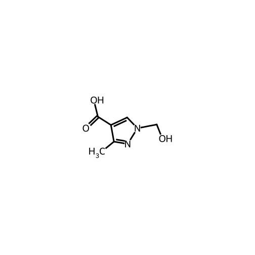 Cc1nn(CO)cc1C(=O)O